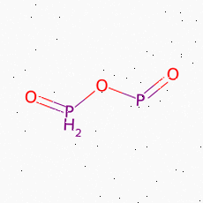 O=PO[PH2]=O